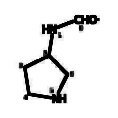 O=[C]NC1CCNC1